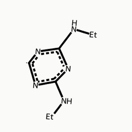 CCNc1n[c]nc(NCC)n1